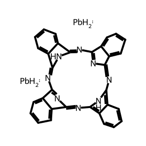 [PbH2].[PbH2].c1ccc2c(c1)-c1nc-2nc2[nH]c(nc3nc(nc4[nH]c(n1)c1ccccc41)-c1ccccc1-3)c1ccccc21